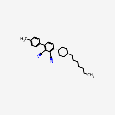 CCCCCCC[C@H]1CC[C@H](c2ccc(-c3ccc(C)cc3)c(C#N)c2C#N)CC1